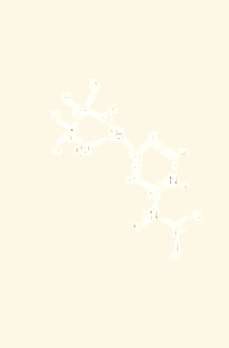 CC(C)N(C)c1cc(B2OC(C)(C)C(C)(C)O2)ccn1